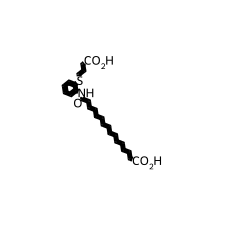 O=C(O)CCCCCCCCCCCCCCC(=O)Nc1ccccc1SCCCC(=O)O